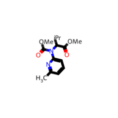 COC(=O)C(C(C)C)N(C(=O)OC)c1cccc(C)n1